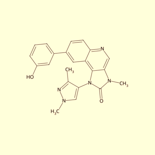 Cc1nn(C)cc1-n1c(=O)n(C)c2cnc3ccc(-c4cccc(O)c4)cc3c21